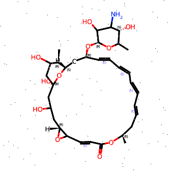 CC1O[C@@H](O[C@H]2/C=C/C=C/C=C/C=C/C[C@@H](C)OC(=O)/C=C/C3O[C@@H]3CC(O)C[C@]3(O)CC(O)[C@@H](C)[C@H](C2)O3)C(O)C(N)[C@@H]1O